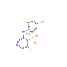 CP(C)(=O)c1c(Cl)cncc1Nc1ccc(Br)cc1F